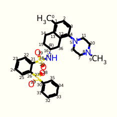 Cc1ccc(N2CCN(C)CC2)c2c1CC[C@@H](NS(=O)(=O)c1ccccc1S(=O)(=O)c1ccccc1)C2